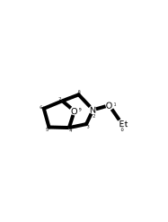 CCON1CC2CCC(C1)O2